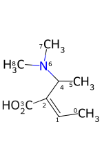 CC=C(C(=O)O)C(C)N(C)C